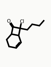 CCCCC1(Cl)C(=O)C2CCC=CC21